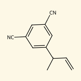 C=C[C](C)c1cc(C#N)cc(C#N)c1